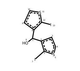 OC(c1ccsc1I)c1ccsc1I